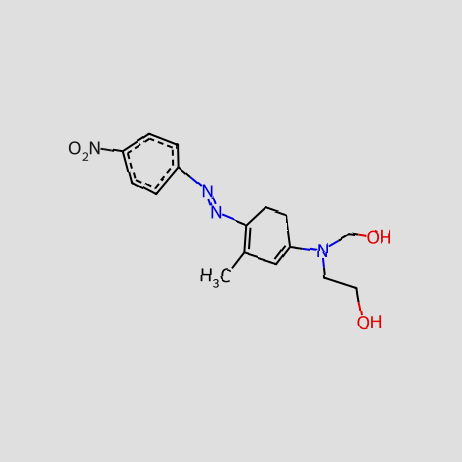 CC1=C(/N=N/c2ccc([N+](=O)[O-])cc2)CCC(N(CO)CCO)=C1